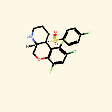 O=S(=O)(c1ccc(Cl)cc1)[C@@]12CCCN[C@H]1COc1c(F)cc(Cl)c(F)c12